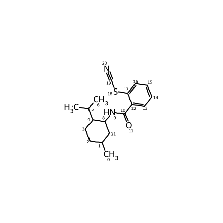 CC1CCC(C(C)C)C(NC(=O)c2ccccc2SC#N)C1